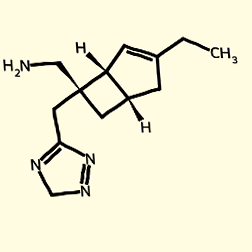 CCC1=C[C@@H]2[C@H](C1)C[C@]2(CN)CC1=NCN=N1